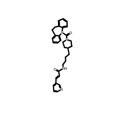 O=C(C=Cc1cccnc1)NCCCCC1CCN(C(=O)N2c3ccccc3CCc3ccccc32)CC1